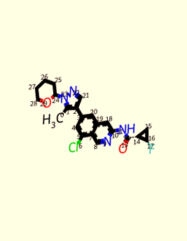 Cc1c(-c2cc(Cl)c3cnc(NC(=O)[C@@H]4C[C@@H]4F)cc3c2)cnn1C1CCCCO1